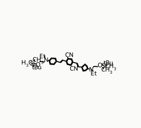 CCN(CCO[Si](C)(C)C(C)(C)C)c1ccc(C=Cc2cc(C#N)c(C=Cc3ccc(N(CC)CCO[Si](C)(C)C(C)(C)C)cc3)cc2C#N)cc1